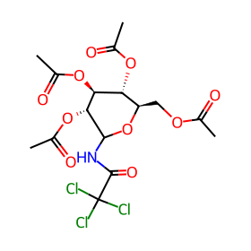 CC(=O)OC[C@H]1OC(NC(=O)C(Cl)(Cl)Cl)[C@H](OC(C)=O)[C@@H](OC(C)=O)[C@@H]1OC(C)=O